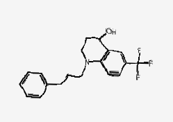 OC1CCN(CCCc2ccccc2)c2ccc(C(F)(F)F)cc21